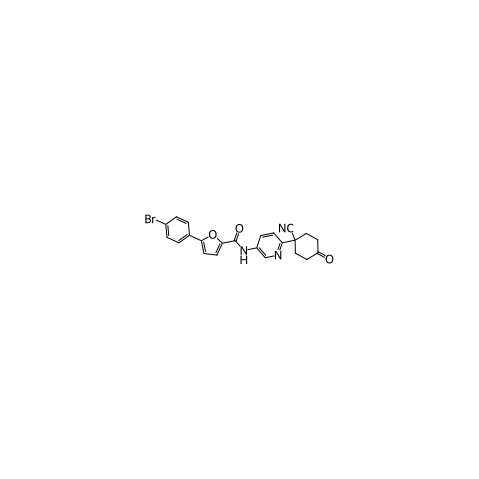 N#CC1(c2ccc(NC(=O)c3ccc(-c4ccc(Br)cc4)o3)cn2)CCC(=O)CC1